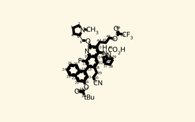 CN1CCC[C@H]1COc1nc2c(F)c(-c3cc(OC(=O)C(C)(C)C)cc4ccccc34)c(CCC#N)cc2c(NC2C3CC2N(C(=O)O)C3)c1CCCOC(=O)C(F)(F)F